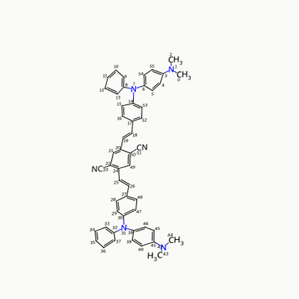 CN(C)c1ccc(N(c2ccccc2)c2ccc(C=Cc3cc(C#N)c(C=Cc4ccc(N(c5ccccc5)c5ccc(N(C)C)cc5)cc4)cc3C#N)cc2)cc1